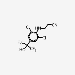 N#CCCNc1c(Cl)cc(C(O)(C(F)(F)F)C(F)(F)F)cc1Cl